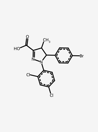 CC1C(C(=O)O)=NN(c2ccc(Cl)cc2Cl)C1c1ccc(Br)cc1